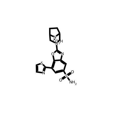 NS(=O)(=O)c1cc(-c2nccs2)c2oc(N3CC4CCC(C3)N4C(=O)O)nc2c1